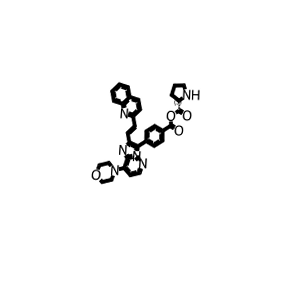 O=C(OC(=O)[C@@H]1CCCN1)c1ccc(-c2c(C=Cc3ccc4ccccc4n3)nc3c(N4CCOCC4)ccnn23)cc1